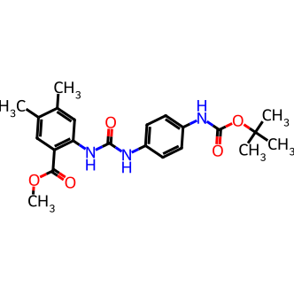 COC(=O)c1cc(C)c(C)cc1NC(=O)Nc1ccc(NC(=O)OC(C)(C)C)cc1